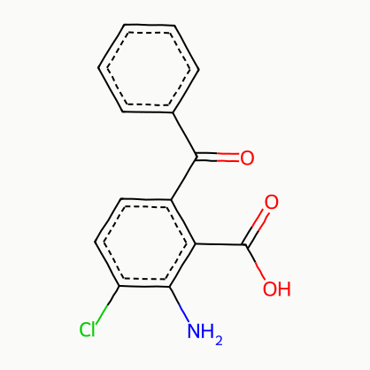 Nc1c(Cl)ccc(C(=O)c2ccccc2)c1C(=O)O